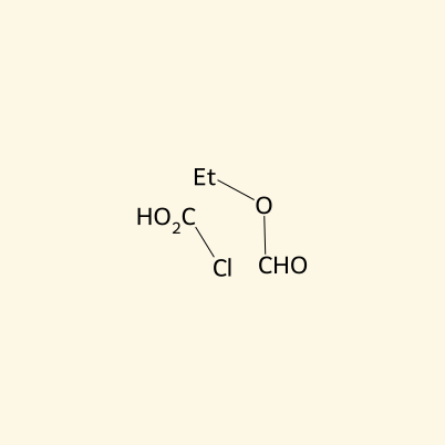 CCOC=O.O=C(O)Cl